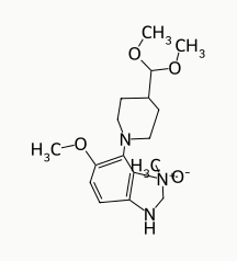 COc1ccc2c(c1N1CCC(C(OC)OC)CC1)[N+](C)([O-])CN2